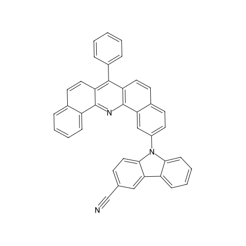 N#Cc1ccc2c(c1)c1ccccc1n2-c1ccc2ccc3c(-c4ccccc4)c4ccc5ccccc5c4nc3c2c1